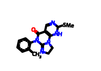 CSC1N=CC2=C(N1)N1CCN=C1N(c1ccccc1C)C2=O